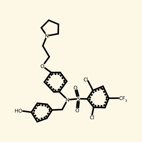 O=S(=O)(c1c(Cl)cc(C(F)(F)F)cc1Cl)N(Cc1ccc(O)cc1)c1ccc(OCCN2CCCC2)cc1